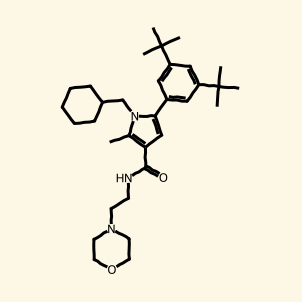 Cc1c(C(=O)NCCN2CCOCC2)cc(-c2cc(C(C)(C)C)cc(C(C)(C)C)c2)n1CC1CCCCC1